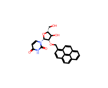 O=c1ccn([C@@H]2O[C@H](CO)C(O)[C@@H]2OCc2ccc3ccc4cccc5ccc2c3c45)c(=O)[nH]1